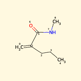 C=C(CCC)C(=O)NC